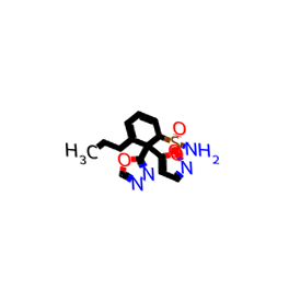 CCCC1=CC=CC(S(N)(=O)=O)C1(c1ccno1)c1nnco1